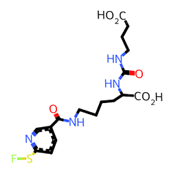 O=C(O)CCCNC(=O)NC(CCCCNC(=O)c1ccc(SF)nc1)C(=O)O